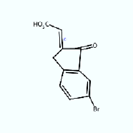 O=C(O)/C=C1\Cc2ccc(Br)cc2C1=O